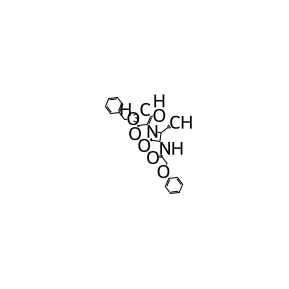 C#CC1C(NC(=O)COc2ccccc2)C(=O)N1C(C(=O)OCc1ccccc1)=C(C)O